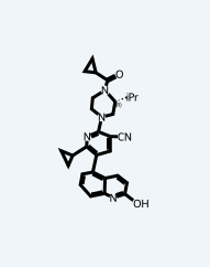 CC(C)[C@@H]1CN(c2nc(C3CC3)c(-c3cccc4nc(O)ccc34)cc2C#N)CCN1C(=O)C1CC1